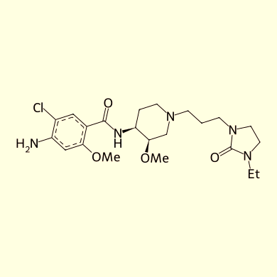 CCN1CCN(CCCN2CC[C@H](NC(=O)c3cc(Cl)c(N)cc3OC)[C@H](OC)C2)C1=O